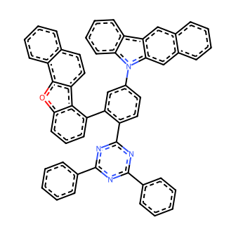 c1ccc(-c2nc(-c3ccccc3)nc(-c3ccc(-n4c5ccccc5c5cc6ccccc6cc54)cc3-c3cccc4oc5c6ccccc6ccc5c34)n2)cc1